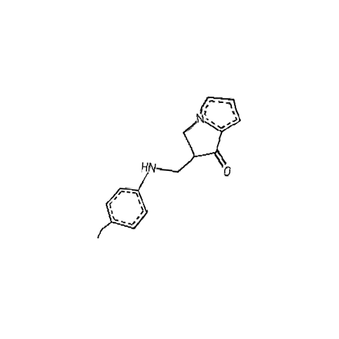 Cc1ccc(NCC2Cn3cccc3C2=O)cc1